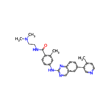 Cc1cc(Nc2ncc3cc(-c4cnccc4C)ccc3n2)ccc1C(=O)NCCN(C)C